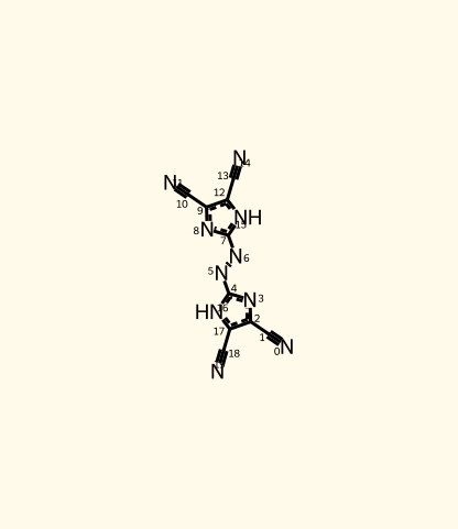 N#Cc1nc(/N=N/c2nc(C#N)c(C#N)[nH]2)[nH]c1C#N